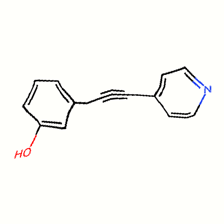 Oc1cccc(C#Cc2ccncc2)c1